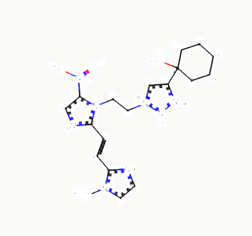 Cn1ccnc1/C=C/c1ncc([N+](=O)[O-])n1CCn1cc(C2(O)CCCCC2)nn1